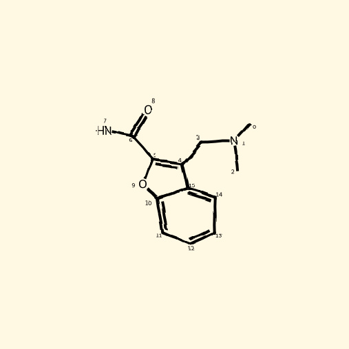 CN(C)Cc1c(C([NH])=O)oc2ccccc12